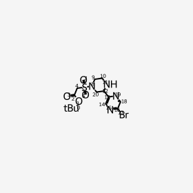 CC(C)(C)OC(=O)CS(=O)(=O)N1CCNC(c2cnc(Br)cn2)C1